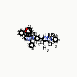 Cc1cc(C2=CN3C(C(C)(C)C)N(c4ccccc4C)[C@@H](C)C3C2(C)C)ccc1N1C(c2ccccc2)N2C=CC(c3ccccc3)(c3ccccc3)C2(C2CCCCCCC2)[C@@H]1C